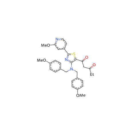 CCC(=O)CC(=O)c1sc(-c2ccnc(OC)c2)nc1N(Cc1ccc(OC)cc1)Cc1ccc(OC)cc1